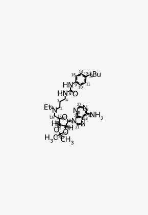 CCN(CCCNC(=O)Nc1ccc(C(C)(C)C)cc1)C[C@H]1OC(n2cnc3c(N)ncnc32)[C@@H]2OC(C)(C)O[C@H]12